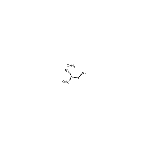 CCCCC(C=O)CC.[CaH2]